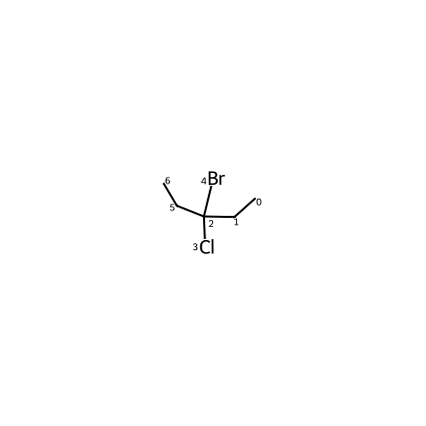 CCC(Cl)(Br)CC